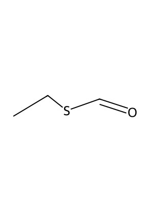 CCSC=O